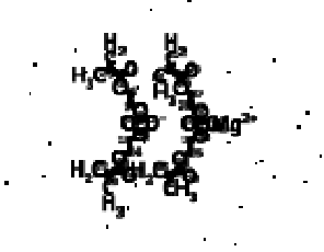 C=C(C)C(=O)OCCOP(=O)([O-])OCCOC(=O)C(=C)C.C=C(C)C(=O)OCCOP(=O)([O-])OCCOC(=O)C(=C)C.[Mg+2]